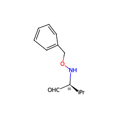 CC(C)[C@@H](C=O)NOCc1ccccc1